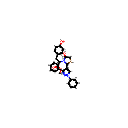 COC(=O)C(Cc1ccc(O)cc1)N1C(=O)CSC1c1cn(-c2ccccc2)nc1-c1ccccc1